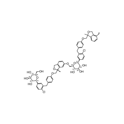 CC1(COc2ccc(Cc3cc([C@@H]4O[C@H](COc5ccc6c(c5)[C@](C)(COc5ccc(Cc7cc([C@@H]8O[C@H](CO)[C@@H](O)[C@H](O)[C@H]8O)ccc7Cl)cc5)OC6)[C@@H](O)[C@H](O)[C@H]4O)ccc3Cl)cc2)OCc2c(F)cccc21